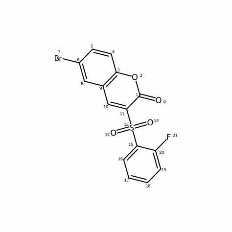 O=c1oc2ccc(Br)cc2cc1S(=O)(=O)c1ccccc1F